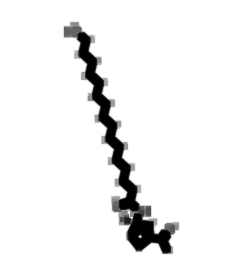 CC(=O)C12CC(C1)[C@@H](NC(=O)CCCCCCCCCCCCCCCO)C2